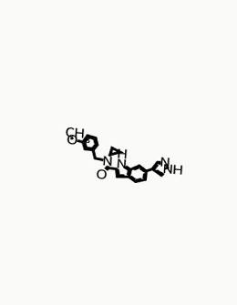 COc1cccc(CN(C(=O)c2cc3ccc(-c4cn[nH]c4)cc3[nH]2)C2CC2)c1